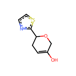 OC1=CCC(c2nccs2)OC1